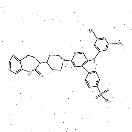 Cc1cc(Nc2cnc(N3CCC(N4CCc5ccccc5NC4=O)CC3)cc2-c2ccc(S(C)(=O)=O)cc2)cc(C)n1